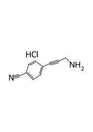 Cl.N#Cc1ccc(C#CCN)cc1